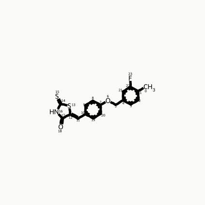 Cc1ccc(COc2ccc(/C=C3\SC(=S)NC3=O)cc2)cc1F